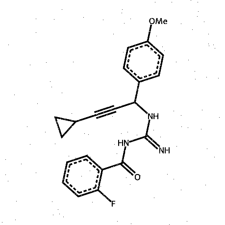 COc1ccc(C(C#CC2CC2)NC(=N)NC(=O)c2ccccc2F)cc1